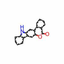 O=c1oc2cc3c(cc2c2ccccc12)[nH]c1ccccc13